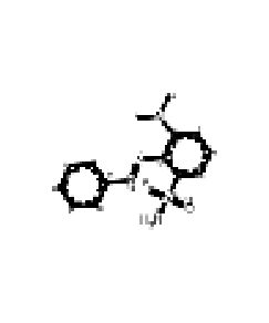 CN(C)c1cccc(S(N)(=O)=O)c1N=Nc1ccccc1